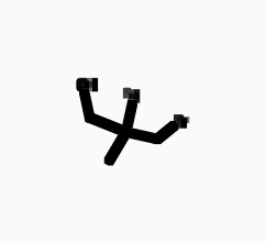 [2H]C(C)(CO)CBr